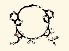 O=[PH](S)O[C@@H]1C2CO[P@](=O)(S)O[C@@H]3C(CO)OC([C@@H]3F)n3cnc4c(ncnc43)CC/C=C/CCc3ncnc4c3ncn4[C@H](O2)[C@@H]1F